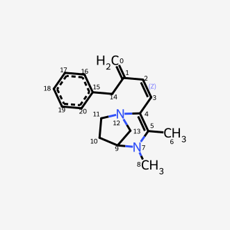 C=C(/C=C\C1=C(C)N(C)C2CCN1C2)Cc1ccccc1